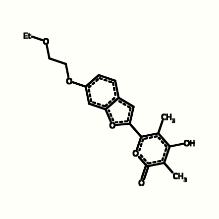 CCOCCOc1ccc2cc(-c3oc(=O)c(C)c(O)c3C)oc2c1